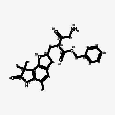 Cc1cc2c(c3c1NC(=O)C3(C)C)OC(CN(C(=O)CN)C(=O)OCc1ccccc1)C2